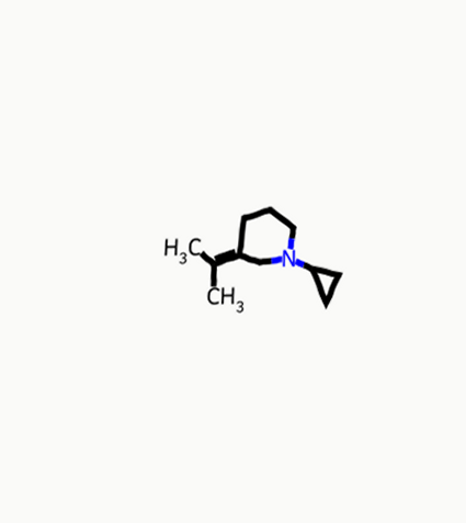 CC(C)=C1CCCN(C2CC2)C1